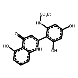 CCOC(=O)Nc1cc(O)cc(O)c1-c1cc(=O)c2c(O)cccc2[nH]1